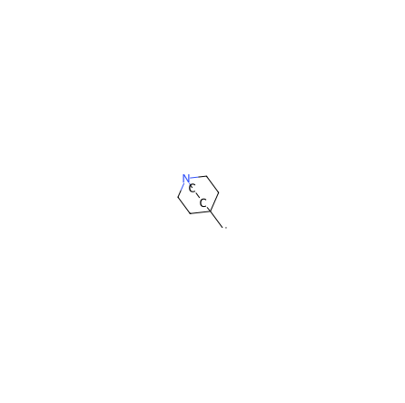 [CH2]C12CCN(CC1)CC2